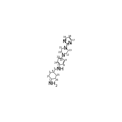 NC1CCC(CNc2ccc(N3CCN(c4ncccn4)CC3)cc2)CC1